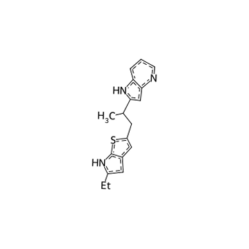 CCc1cc2cc(CC(C)c3cc4ncccc4[nH]3)sc2[nH]1